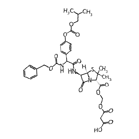 CC(C)COC(=O)Oc1ccc(C(NC(=O)OCc2ccccc2)C(=O)N[C@@H]2C(=O)N3[C@@H]2SC(C)(C)[C@@H]3C(=O)OCOC(=O)CC(=O)O)cc1